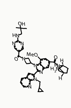 COc1cc(C(=O)N2C[C@H]3CC[C@@H]2[C@@H]3N)cc2nc(-c3cc4cccnc4n3CC3CC3)n(C3CN(C(=O)c4cnc(NCC(C)(C)O)nc4)C3)c12